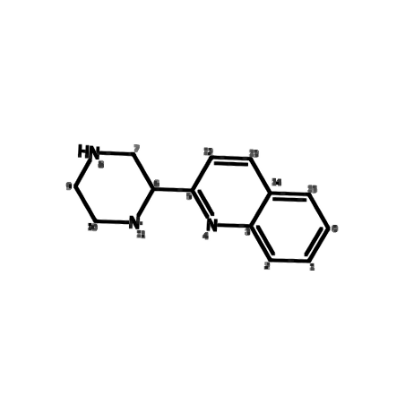 c1ccc2nc(C3CNCC[N]3)ccc2c1